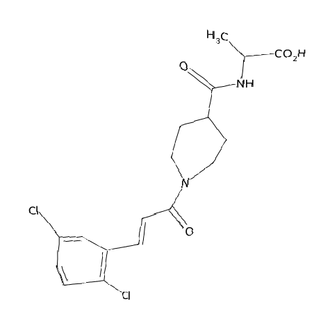 CC(NC(=O)C1CCN(C(=O)C=Cc2cc(Cl)ccc2Cl)CC1)C(=O)O